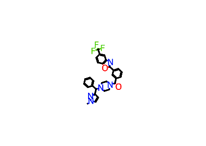 Cn1ccc(C(c2ccccc2)N2CCN(C(=O)c3cccc(-c4nc5cc(C(F)(F)F)ccc5o4)c3)CC2)n1